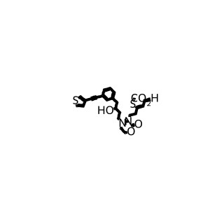 C=C/C=C(/CCN1C(=O)OCCN1CCC(O)Cc1cccc(C#Cc2ccsc2)c1)SC(=O)O